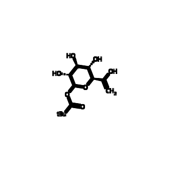 C=C(O)[C@H]1OC(OC(=O)C(C)(C)C)[C@H](O)[C@@H](O)[C@@H]1O